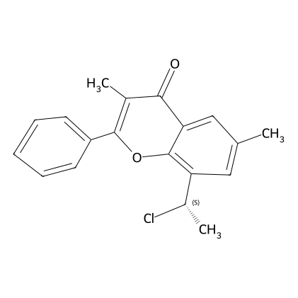 Cc1cc([C@H](C)Cl)c2oc(-c3ccccc3)c(C)c(=O)c2c1